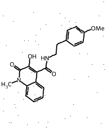 COc1ccc(CCNC(=O)c2c(O)c(=O)n(C)c3ccccc23)cc1